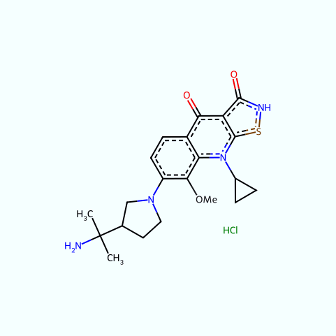 COc1c(N2CCC(C(C)(C)N)C2)ccc2c(=O)c3c(=O)[nH]sc3n(C3CC3)c12.Cl